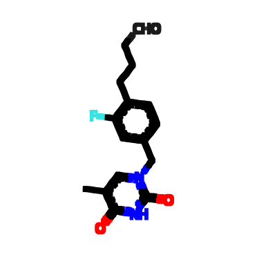 Cc1cn(Cc2ccc(CCCC=O)c(F)c2)c(=O)[nH]c1=O